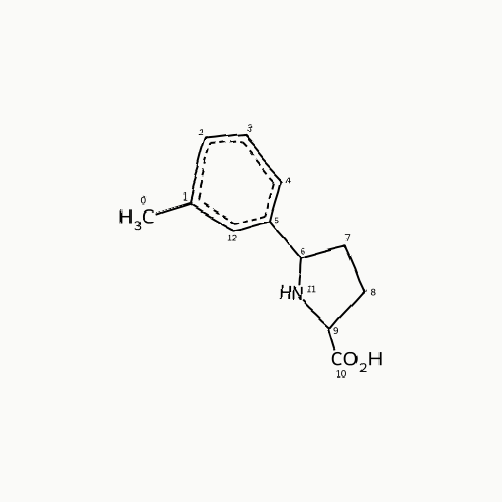 Cc1cccc(C2CCC(C(=O)O)N2)c1